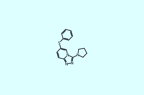 c1ccc(Sc2ccc3nnc(N4CCCC4)n3c2)cc1